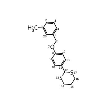 Cc1cccc(COc2ccc(C3SCCCS3)cc2)c1